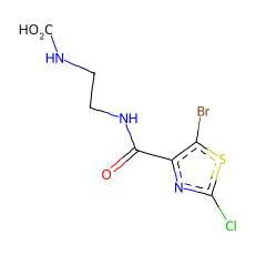 O=C(O)NCCNC(=O)c1nc(Cl)sc1Br